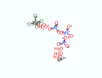 O.O.O.O.O.O=[N+]([O-])[O-].O=[N+]([O-])[O-].O=[N+]([O-])[O-].[Cl][Sn]([Cl])([Cl])[Cl].[La+3]